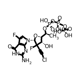 C[C@H](OP(=O)(O)OP(=O)(O)OP(=O)(O)O)[C@H]1O[C@@H](n2cc(F)c3c(=O)[nH]c(N)nc32)C(F)(C#CCl)[C@H]1O